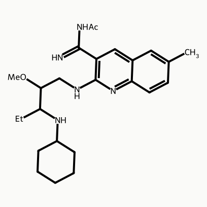 CCC(NC1CCCCC1)C(CNc1nc2ccc(C)cc2cc1C(=N)NC(C)=O)OC